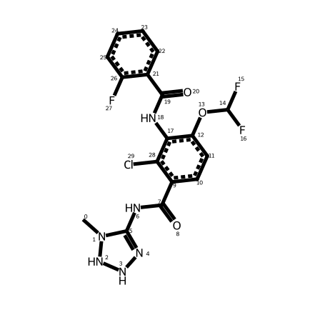 CN1NNN=C1NC(=O)c1ccc(OC(F)F)c(NC(=O)c2ccccc2F)c1Cl